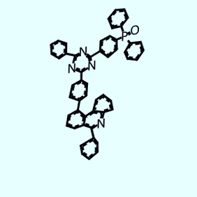 O=P(c1ccccc1)(c1ccccc1)c1ccc(-c2nc(-c3ccccc3)nc(-c3ccc(-c4cccc5c(-c6ccccc6)nc6ccccc6c45)cc3)n2)cc1